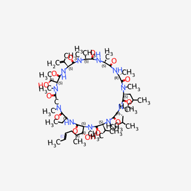 C=C(C)[C@@H]1NC(=O)[C@H]([C@@H](C)O)N(C)C(=O)CN(C)C(=O)[C@H](CC)NC(=O)[C@H]([C@H](O)[C@H](C)C/C=C/C)N(C)C(=O)[C@H](C(C)C)N(C)C(=O)[C@@H](CC(C)C)N(C)C(=O)[C@H](CC(C)C)N(C)C(=O)[C@@H](C)NC(=O)[C@H](C)NC(=O)[C@H](C)N(C)C1=O